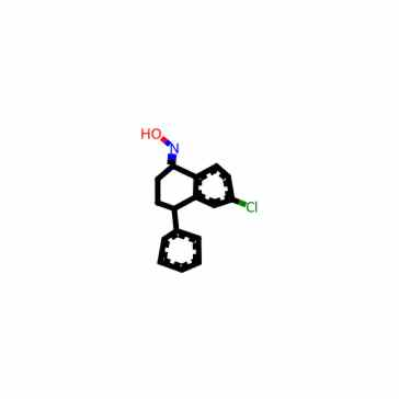 O/N=C1\CCC(c2ccccc2)c2cc(Cl)ccc21